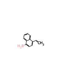 Bc1ccc(C=C)c2ccccc12